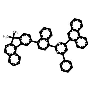 CC1(C)c2ccc(-c3ccc(-c4nc(-c5ccccc5)cc(-c5cc6ccccc6c6ccccc56)n4)c4ccccc34)cc2-c2c1ccc1ccccc21